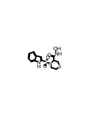 O=C(NO)C1CSCCN1S(=O)(=O)c1cc2ccccc2[nH]1